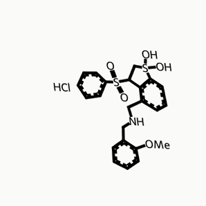 COc1ccccc1CNCc1cccc2c1C(S(=O)(=O)c1ccccc1)CS2(O)O.Cl